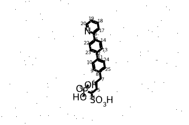 O=P(O)(O)C(CCCc1ccc(-c2ccc(-c3ccccn3)cc2)cc1)S(=O)(=O)O